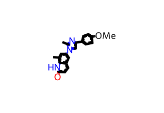 COc1ccc(-c2cn(-c3cc(C)c4[nH]c(=O)ccc4c3)c(C)n2)cc1